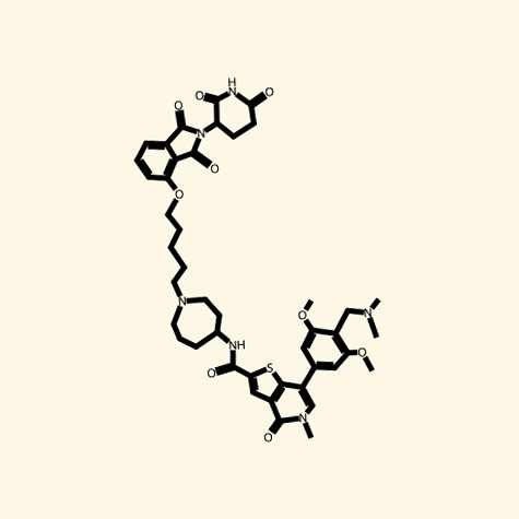 COc1cc(-c2cn(C)c(=O)c3cc(C(=O)NC4CCCN(CCCCCOc5cccc6c5C(=O)N(C5CCC(=O)NC5=O)C6=O)CC4)sc23)cc(OC)c1CN(C)C